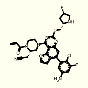 C=CC(=O)N1CCN(c2nc(OC[C@@H]3C[C@@H](F)CN3)nc3cc(-c4cc(N)cc(F)c4Cl)c4ccoc4c23)C[C@@H]1CC#N